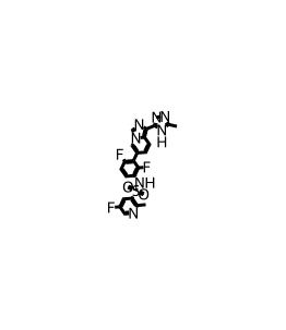 Cc1nnc(-c2ncn3cc(-c4c(F)ccc(NS(=O)(=O)c5cc(F)cnc5C)c4F)ccc23)[nH]1